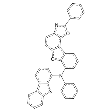 c1ccc(-c2nc3ccc4oc5c(N(c6ccccc6)c6cccc7c6sc6ccccc67)cccc5c4c3o2)cc1